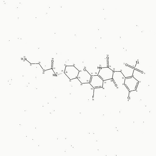 CCS(=O)(=O)c1ccc(Cl)cc1Cn1c(=O)[nH]c2c(Cl)c(CN3CCC[C@@H](NC(=O)OCCN)C3)c(F)cc2c1=O